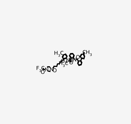 Cc1ccc(-c2ccccc2C(=O)Nc2ccccc2C(=O)N(C)c2ccc(C)cc2OCCCCCC(=O)N2CCN(C(=O)C(F)(F)F)CC2)cc1